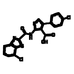 O=C(Nc1scc(-c2ccc(Cl)cc2)c1C(=O)O)c1nc2cccc(Cl)c2s1